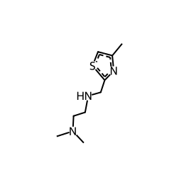 Cc1csc(CNCCN(C)C)n1